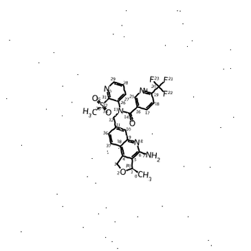 C[C@H]1OCc2c1c(N)nc1cc(CN(C(=O)c3ccc(C(F)(F)F)nc3)c3cccnc3S(C)(=O)=O)ccc21